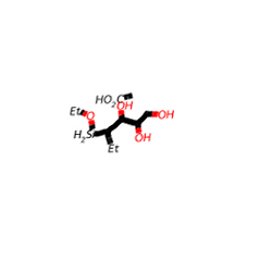 CC(=O)O.CCO[SiH2]C(CC)C(O)C(O)CO